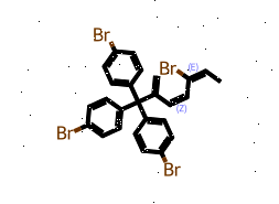 C=C(/C=C\C(Br)=C/C)C(c1ccc(Br)cc1)(c1ccc(Br)cc1)c1ccc(Br)cc1